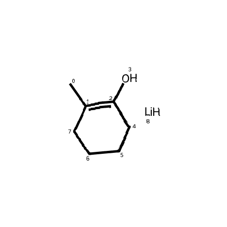 CC1=C(O)CCCC1.[LiH]